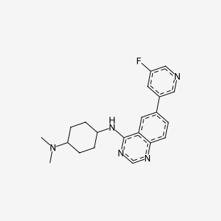 CN(C)C1CCC(Nc2ncnc3ccc(-c4cncc(F)c4)cc23)CC1